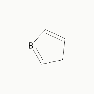 B1=CCC=C1